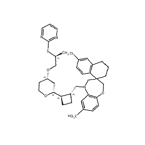 C[C@@H](CO[C@H]1CCO[C@@H]([C@@H]2CC[C@H]2CN2CC3(CCCc4cc(Cl)ccc43)COc3ccc(C(=O)O)cc32)C1)Sc1ncccn1